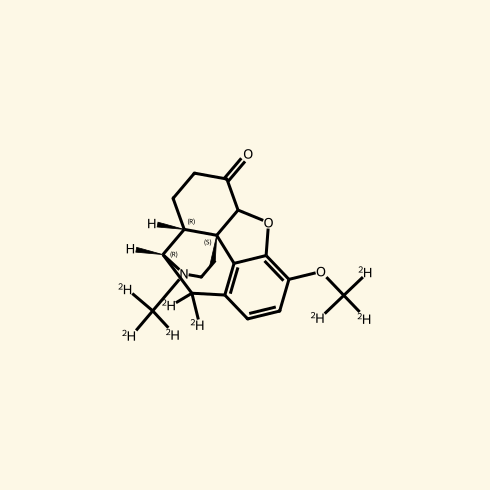 [2H]C([2H])([2H])Oc1ccc2c3c1OC1C(=O)CC[C@H]4[C@H](N(C([2H])([2H])[2H])CC[C@]314)C2([2H])[2H]